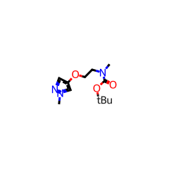 CN(CCOc1cnn(C)c1)C(=O)OC(C)(C)C